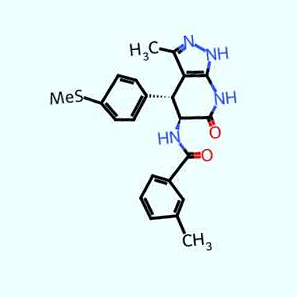 CSc1ccc([C@@H]2c3c(C)n[nH]c3NC(=O)[C@H]2NC(=O)c2cccc(C)c2)cc1